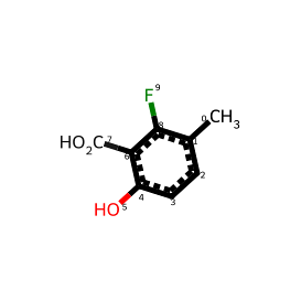 Cc1ccc(O)c(C(=O)O)c1F